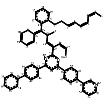 C\C=C/C=C\C=C\CCc1ccccc1/C(=C1/C=CC=CC1)C(C)/C=C(\C=C/C)c1nc(-c2ccc(-c3ccccc3)cc2)cc(-c2ccc(-c3cccnc3)cc2)n1